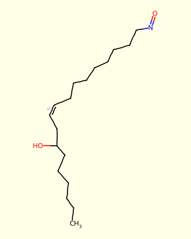 CCCCCCC(O)C/C=C\CCCCCCCCN=O